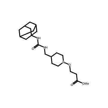 COC(=O)CCON1CCC(CNC(=O)NC23CC4CC(CC(C4)C2)C3)CC1